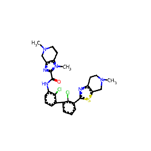 CN1CCc2c(nc(C(=O)Nc3cccc(-c4cccc(-c5nc6c(s5)CN(C)CC6)c4Cl)c3Cl)n2C)C1